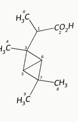 CC(C(=O)O)C1(C)C2C1C2(C)C